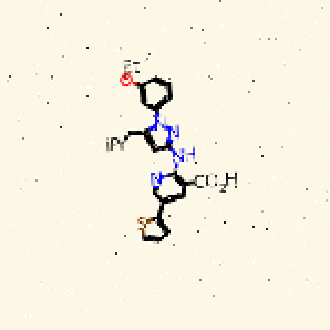 CCOc1cccc(-n2nc(Nc3ncc(-c4cccs4)cc3C(=O)O)cc2CC(C)C)c1